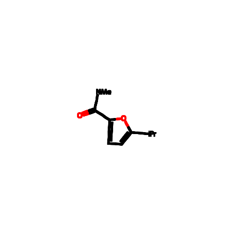 CNC(=O)c1ccc(C(C)C)o1